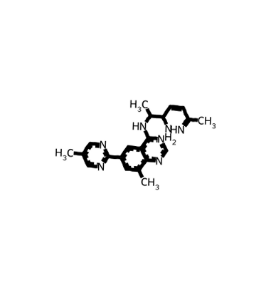 CC(=N)/C=C\C(N)C(C)Nc1ncnc2c(C)cc(-c3ncc(C)cn3)cc12